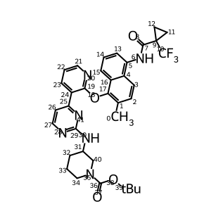 Cc1ccc2c(NC(=O)C3(C(F)(F)F)CC3)cccc2c1Oc1ncccc1-c1ccnc(NC2CCCN(C(=O)OC(C)(C)C)C2)n1